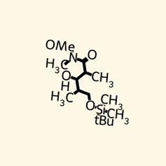 CON(C)C(=O)C(C)C(O)C(C)CO[Si](C)(C)C(C)(C)C